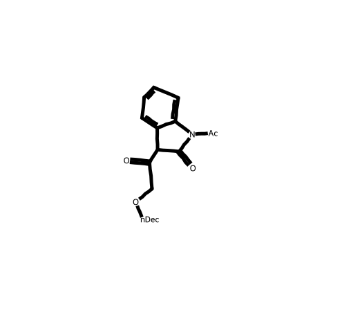 CCCCCCCCCCOCC(=O)C1C(=O)N(C(C)=O)c2ccccc21